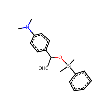 CN(C)c1ccc(C(C=O)O[Si](C)(C)c2ccccc2)cc1